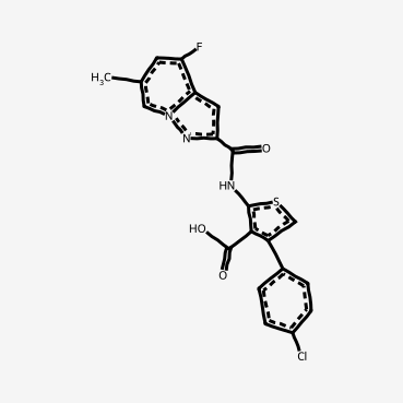 Cc1cc(F)c2cc(C(=O)Nc3scc(-c4ccc(Cl)cc4)c3C(=O)O)nn2c1